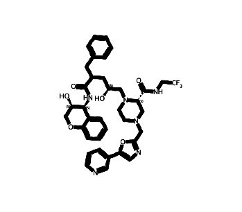 O=C(N[C@H]1c2ccccc2OC[C@H]1O)C(Cc1ccccc1)C[C@H](O)CN1CCN(Cc2ncc(-c3cccnc3)o2)C[C@H]1C(=O)NCC(F)(F)F